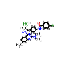 Cc1ccc2c(N[C@@H](C)c3ccc(NC(=O)c4ccc(F)cc4)cc3)nc(N(C)C)nc2c1.Cl